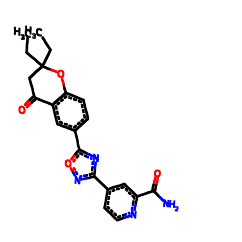 CCC1(CC)CC(=O)c2cc(-c3nc(-c4ccnc(C(N)=O)c4)no3)ccc2O1